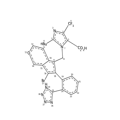 CCCCc1nc(C(F)(F)F)c(C(=O)O)n1Cc1c2ccocc-2c(Br)c1-c1ccccc1-c1nnn[nH]1